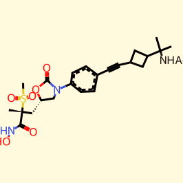 CC(=O)NC(C)(C)C1CC(C#Cc2ccc(N3C[C@H](C[C@](C)(C(=O)NO)S(C)(=O)=O)OC3=O)cc2)C1